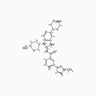 Cn1cc(-c2cc(C(=O)/N=c3\[nH]c4cc(C5CCNCC5)ccc4n3[C@H]3CC[C@@H](O)CC3)ccn2)cn1